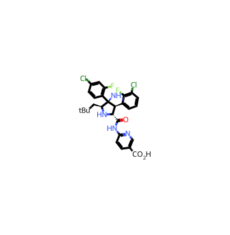 CC(C)(C)C[C@@H]1N[C@@H](C(=O)Nc2ccc(C(=O)O)cn2)[C@H](c2cccc(Cl)c2F)[C@@]1(N)c1ccc(Cl)cc1F